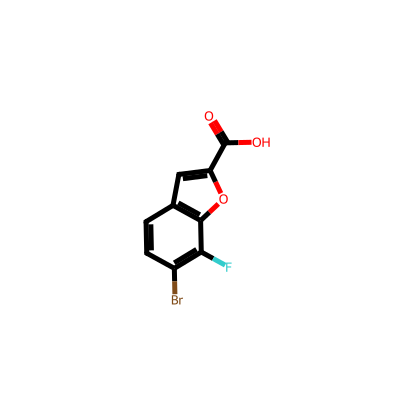 O=C(O)c1cc2ccc(Br)c(F)c2o1